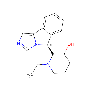 OC1CCCN(CC(F)(F)F)C1[C@@H]1c2ccccc2-c2cncn21